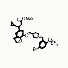 COC(=O)CC(c1cc2c(c(OCC3CCN(Cc4cc(Br)ccc4OC(F)(F)F)CC3)c1)OCC2)C1CC1